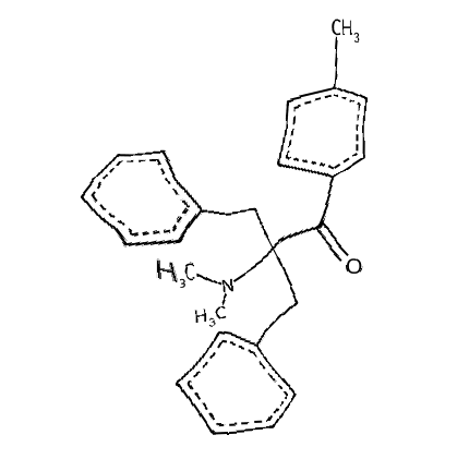 Cc1ccc(C(=O)C(Cc2ccccc2)(Cc2ccccc2)N(C)C)cc1